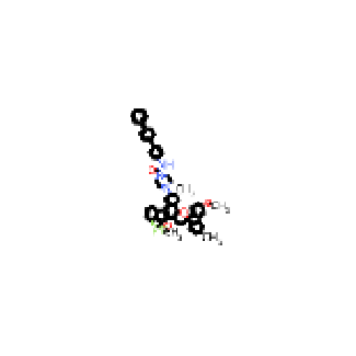 COc1ccc(C2(c3ccc(C)cc3)C=Cc3c4c(c5cc(N6CCN(C(=O)Nc7ccc(-c8ccc(-c9ccccc9)cc8)cc7)CC6)c(C)cc5c3O2)-c2ccccc2C4(OC)C(F)(F)F)cc1